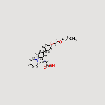 CCCCOCCOc1ccc(-c2ccc(N3CCCCCC3)c(/C=C/C(=O)O)c2)cc1